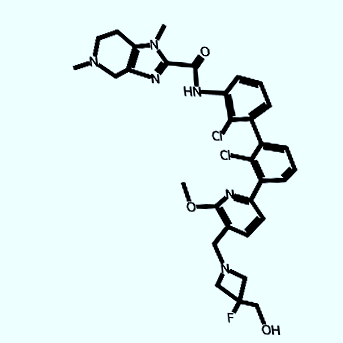 COc1nc(-c2cccc(-c3cccc(NC(=O)c4nc5c(n4C)CCN(C)C5)c3Cl)c2Cl)ccc1CN1CC(F)(CO)C1